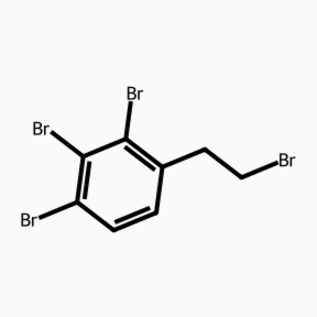 BrCCc1ccc(Br)c(Br)c1Br